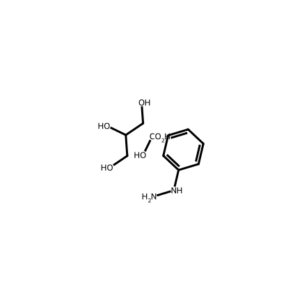 NNc1ccccc1.O=C(O)O.OCC(O)CO